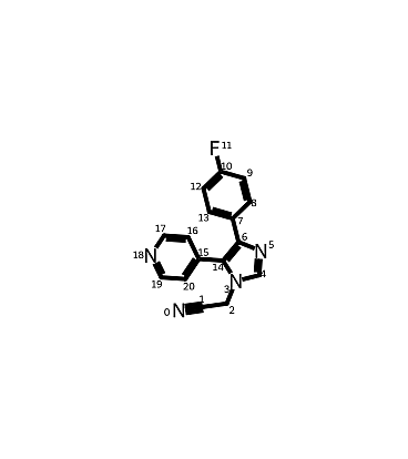 N#CCn1cnc(-c2ccc(F)cc2)c1-c1ccncc1